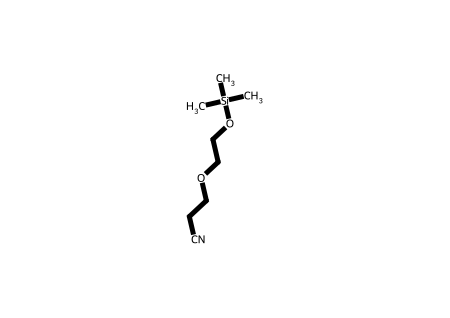 C[Si](C)(C)OCCOCCC#N